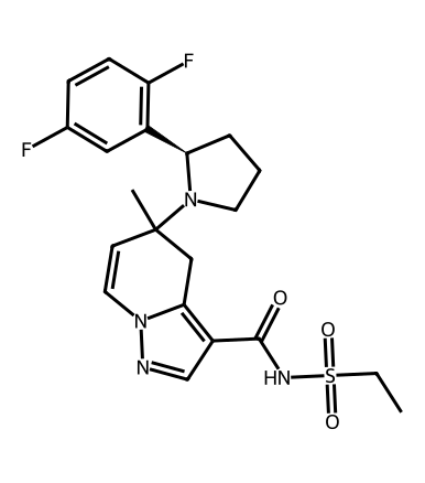 CCS(=O)(=O)NC(=O)c1cnn2c1CC(C)(N1CCC[C@@H]1c1cc(F)ccc1F)C=C2